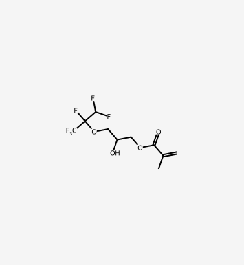 C=C(C)C(=O)OCC(O)COC(F)(C(F)F)C(F)(F)F